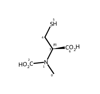 CN(C(=O)O)[C@@H](CS)C(=O)O